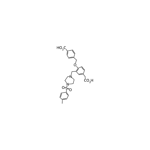 Cc1ccc(S(=O)(=O)N2CCN(Cc3cc(CC(=O)O)ccc3OCc3ccc(C(=O)O)cc3)CC2)cc1